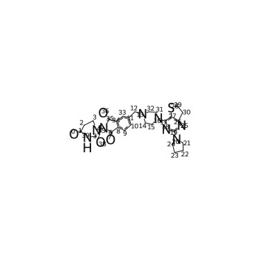 O=C1CCN(N2C(=O)c3ccc(CN4CCN(c5nc(N6CCCC6)nc6c5SCC6)CC4)cc3C2=O)C(=O)N1